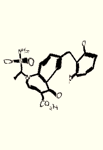 CC(n1cc(C(=O)O)c(=O)c2cc(Cc3c(F)cccc3Cl)ccc21)S(N)(=O)=O